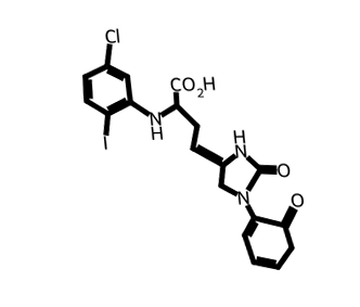 O=C1CC=CC=C1N1CC(=CCC(Nc2cc(Cl)ccc2I)C(=O)O)NC1=O